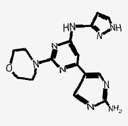 Nc1ncc(-c2cc(Nc3cc[nH]n3)nc(N3CCOCC3)n2)cn1